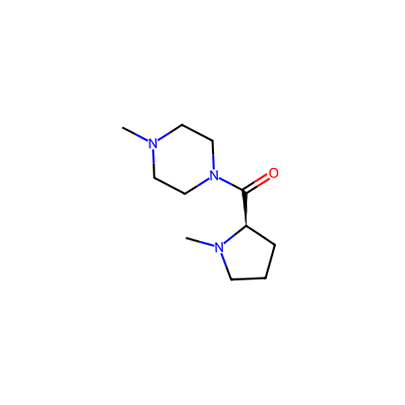 CN1CCN(C(=O)[C@H]2CCCN2C)CC1